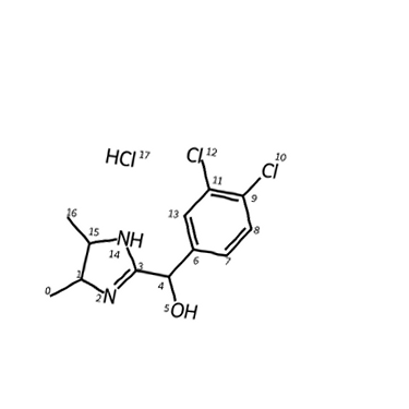 CC1N=C(C(O)c2ccc(Cl)c(Cl)c2)NC1C.Cl